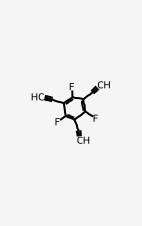 C#Cc1c(F)c(C#C)c(F)c(C#C)c1F